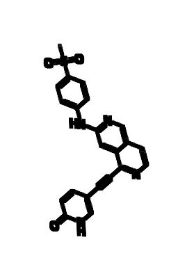 CS(=O)(=O)c1ccc(Nc2cc3c(C#Cc4ccc(=O)[nH]c4)nccc3cn2)cc1